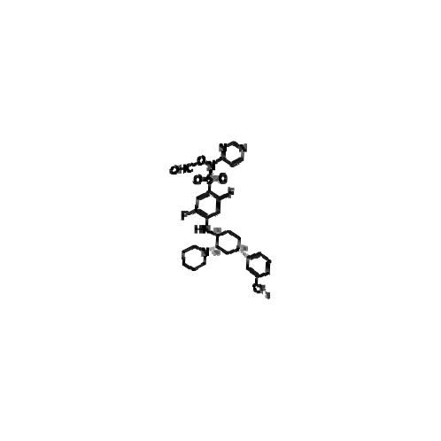 O=CON(c1ccncn1)S(=O)(=O)c1cc(F)c(N[C@H]2CC[C@H](c3cccc(C(F)(F)F)c3)C[C@@H]2N2CCCCC2)cc1F